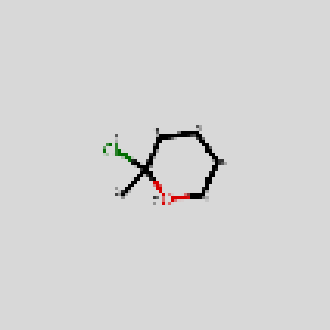 CC1(Cl)CCCCO1